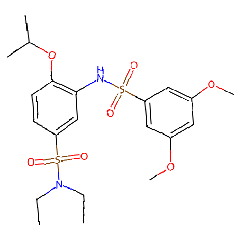 CCN(CC)S(=O)(=O)c1ccc(OC(C)C)c(NS(=O)(=O)c2cc(OC)cc(OC)c2)c1